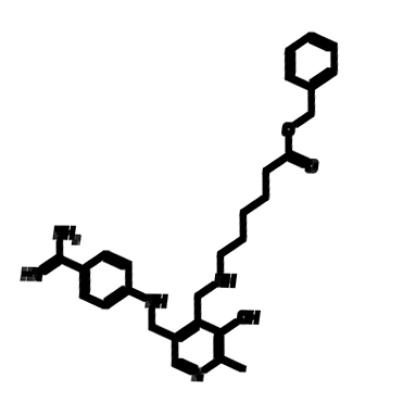 Cc1ncc(CNc2ccc(C(=N)N)cc2)c(CNCCCCCC(=O)OCc2ccccc2)c1O